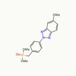 COc1ccc2nn(-c3ccc(CP(=O)(OC)OC)cc3)nc2c1